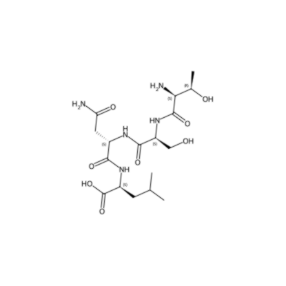 CC(C)C[C@H](NC(=O)[C@H](CC(N)=O)NC(=O)[C@H](CO)NC(=O)[C@@H](N)[C@@H](C)O)C(=O)O